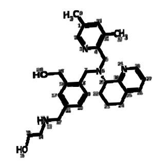 Cc1cnc(CN(Cc2ccc(CNCCO)cc2CO)[C@H]2CCCc3cccnc32)c(C)c1